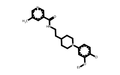 CCOc1cc(N2CCC(CCNC(=O)c3cncc(C)c3)CC2)ccc1Cl